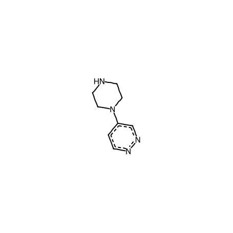 c1cc(N2CCNCC2)cnn1